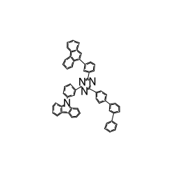 c1ccc(-c2cccc(-c3ccc(-c4nc(-c5cccc(-c6cc7ccccc7c7ccccc67)c5)nc(-c5cccc(-n6c7ccccc7c7ccccc76)c5)n4)cc3)c2)cc1